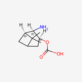 CC1(C)C2C[C@H](OC(=O)O)[C@H](N)[C@@H]1C2